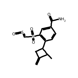 C=C1CC(c2ccc(C(N)=O)cc2S(=O)(=O)C=S=O)C1C